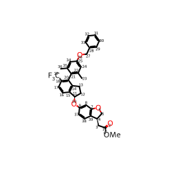 COC(=O)C[C@@H]1COc2cc(O[C@@H]3CCc4c3ccc(C(F)(F)F)c4-c3c(C)cc(OCc4ccccc4)cc3C)ccc21